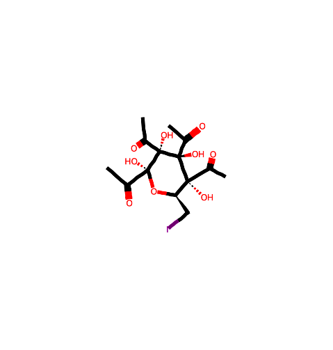 CC(=O)[C@@]1(O)[C@](O)(C(C)=O)[C@@](O)(C(C)=O)[C@@H](CI)O[C@@]1(O)C(C)=O